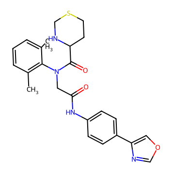 Cc1cccc(C)c1N(CC(=O)Nc1ccc(-c2cocn2)cc1)C(=O)C1CCSCN1